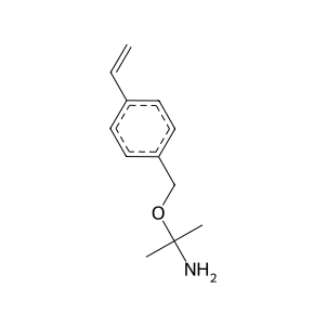 C=Cc1ccc(COC(C)(C)N)cc1